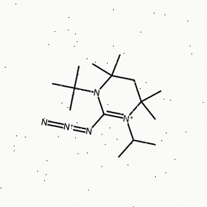 CC(C)[N+]1=C(N=[N+]=[N-])N(C(C)(C)C)C(C)(C)CC1(C)C